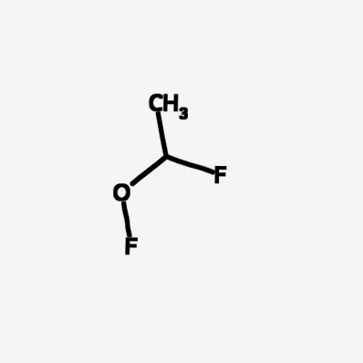 CC(F)OF